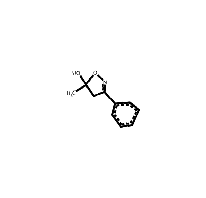 CC1(O)CC(c2ccccc2)=NO1